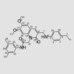 CCc1ccc(NCc2cc3cc(OC)c(OC)cc3n(CC(=O)Nc3cc(C)cc(C)c3)c2=O)cc1